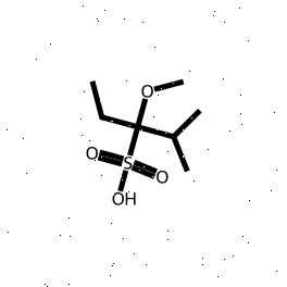 CCC(OC)(C(C)C)S(=O)(=O)O